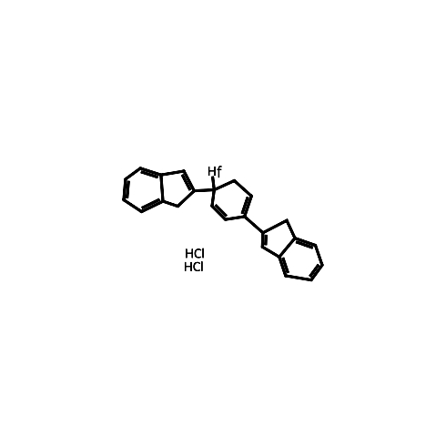 Cl.Cl.[Hf][C]1(C2=Cc3ccccc3C2)C=CC(C2=Cc3ccccc3C2)=CC1